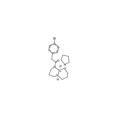 O=C(Cc1ccc(Br)cc1)N1CCC[C@@H]2CCC[C@@H](N3CCCC3)[C@@H]21